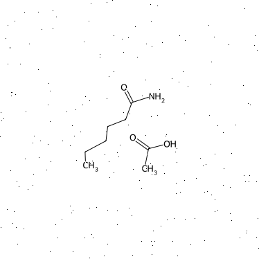 CC(=O)O.CCCCCC(N)=O